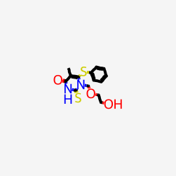 Cc1c(Sc2ccccc2)n(COCCO)c(=S)[nH]c1=O